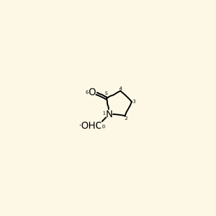 O=[C]N1CCCC1=O